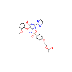 COc1ccccc1Oc1c(NS(=O)(=O)c2ccc(OCCOC(C)=O)cc2)nc(-c2ncccn2)nc1OC